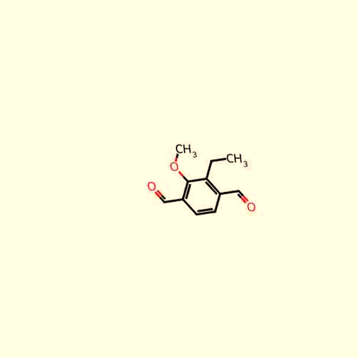 CCc1c(C=O)ccc(C=O)c1OC